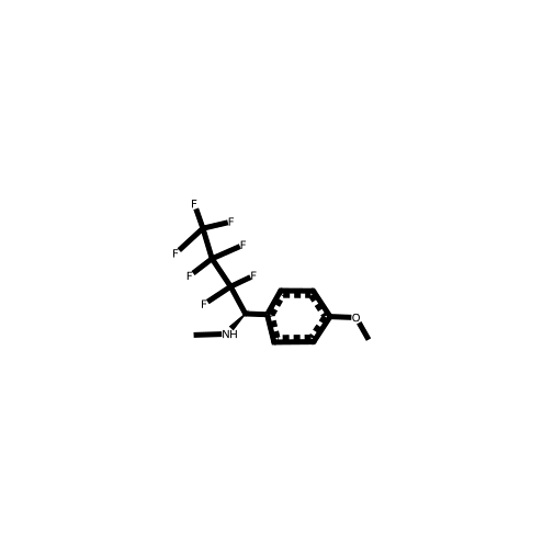 CN[C@H](c1ccc(OC)cc1)C(F)(F)C(F)(F)C(F)(F)F